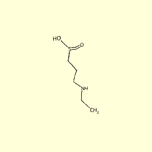 CCNCCCS(=O)O